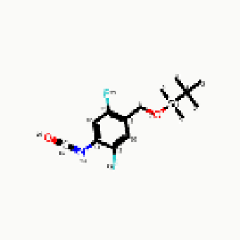 CC(C)(C)[Si](C)(C)OCc1cc(F)c(N=C=O)cc1F